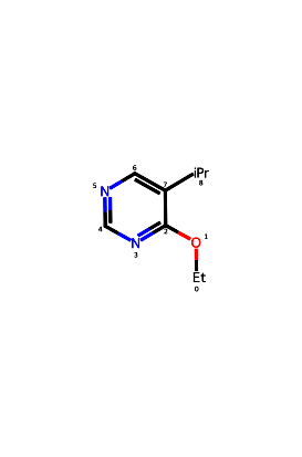 CCOc1ncncc1C(C)C